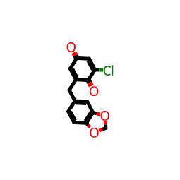 O=C1C=C(Cl)C(=O)C(Cc2ccc3c(c2)OCO3)=C1